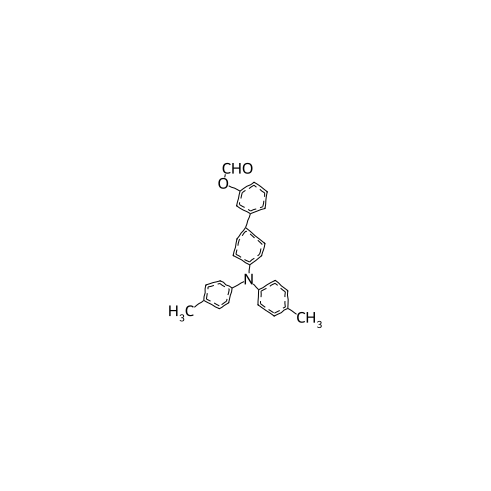 Cc1ccc(N(c2ccc(C)cc2)c2ccc(-c3cccc(OC=O)c3)cc2)cc1